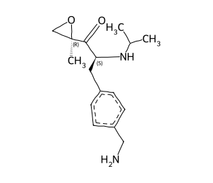 CC(C)N[C@@H](Cc1ccc(CN)cc1)C(=O)[C@@]1(C)CO1